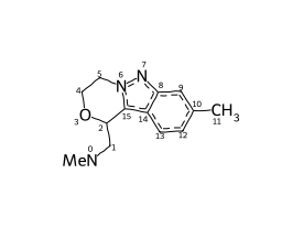 CNCC1OCCn2nc3cc(C)ccc3c21